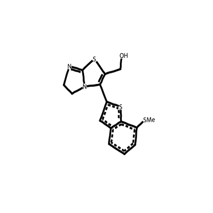 CSc1cccc2cc(C3=C(CO)SC4=NCCN43)sc12